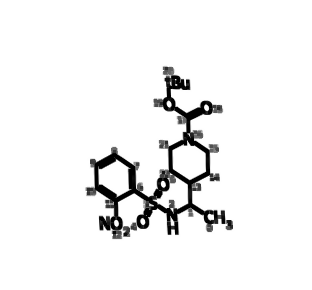 CC(NS(=O)(=O)c1ccccc1[N+](=O)[O-])C1CCN(C(=O)OC(C)(C)C)CC1